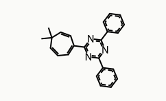 CC1(C)C=CC=C(c2nc(-c3ccccc3)nc(-c3ccccc3)n2)C=C1